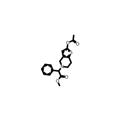 COC(=O)C(c1ccccc1)N1CCc2sc(OC(C)=O)cc2C1